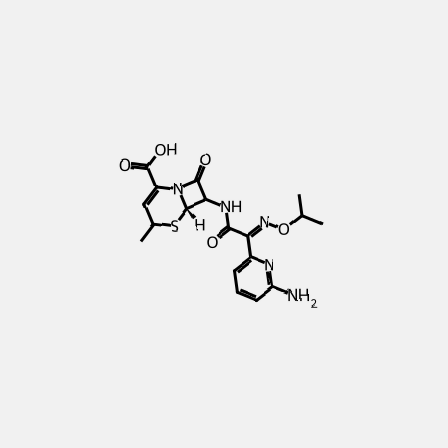 CC(C)ON=C(C(=O)NC1C(=O)N2C(C(=O)O)=CC(C)S[C@@H]12)c1cccc(N)n1